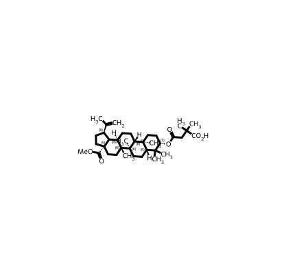 C=C(C)[C@@H]1CC[C@]2(C(=O)OC)CC[C@]3(C)[C@H](CC[C@@H]4[C@@]5(C)CC[C@H](OC(=O)CC(C)(C)C(=O)O)C(C)(C)[C@@H]5CC[C@]43C)C12